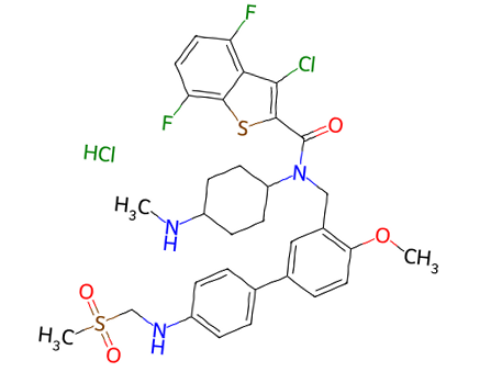 CNC1CCC(N(Cc2cc(-c3ccc(NCS(C)(=O)=O)cc3)ccc2OC)C(=O)c2sc3c(F)ccc(F)c3c2Cl)CC1.Cl